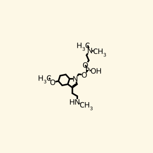 CNCCC1=CN(COP(O)OCCN(C)C)C2CCC(OC)CC12